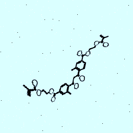 C=C(C)C(=O)OCCOC(=O)c1ccc(C(=O)CC(=O)c2ccc(C(=O)OCCOC(=O)C(=C)C)cc2C)c(C)c1